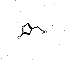 O=NCc1csc(Cl)c1